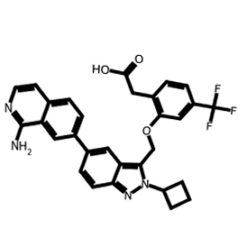 Nc1nccc2ccc(-c3ccc4nn(C5CCC5)c(COc5cc(C(F)(F)F)ccc5CC(=O)O)c4c3)cc12